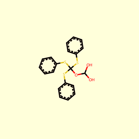 OC(O)OC(Sc1ccccc1)(Sc1ccccc1)Sc1ccccc1